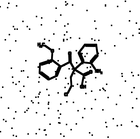 COc1ccccc1C(=O)C(CCCl)(C(=O)O)c1ccccc1N